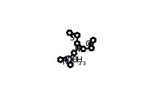 Cc1c2c3ccccc3n1-c1ccccc1C(C)/C(c1ccc(-n3c4ccc(-c5cccc6c5oc5ccccc56)cc4c4cc(-c5cccc6c5sc5ccccc56)ccc43)cc1)=C\2